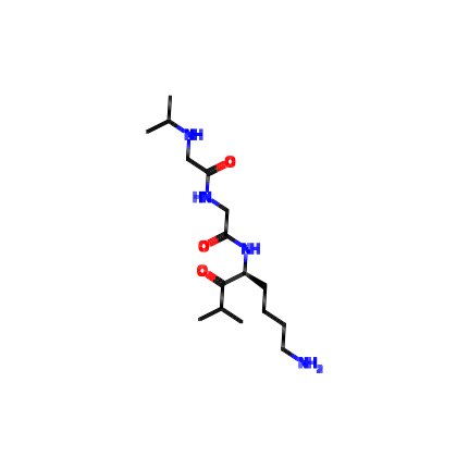 CC(C)NCC(=O)NCC(=O)N[C@@H](CCCCN)C(=O)C(C)C